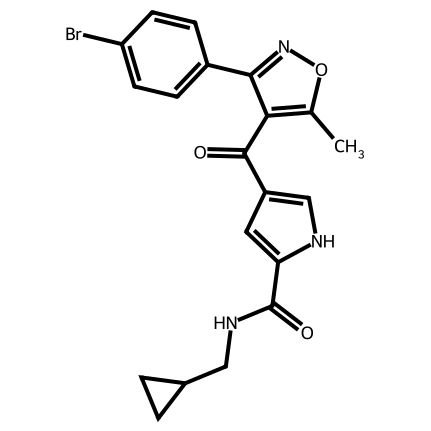 Cc1onc(-c2ccc(Br)cc2)c1C(=O)c1c[nH]c(C(=O)NCC2CC2)c1